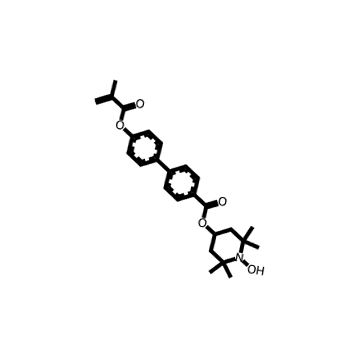 C=C(C)C(=O)Oc1ccc(-c2ccc(C(=O)OC3CC(C)(C)N(O)C(C)(C)C3)cc2)cc1